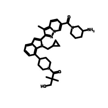 Cc1c(-c2cc3cccc(C4CCN(C(=O)C(C)(C)CO)CC4)c3n2CC2CC2)nn2cc(C(=O)N3CCCC(N)C3)ccc12